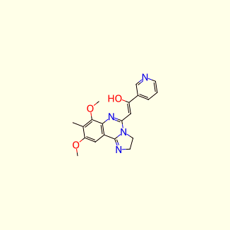 COc1cc2c(c(OC)c1C)N=C(/C=C(\O)c1cccnc1)N1CCN=C21